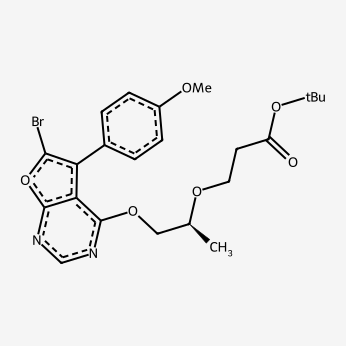 COc1ccc(-c2c(Br)oc3ncnc(OC[C@H](C)OCCC(=O)OC(C)(C)C)c23)cc1